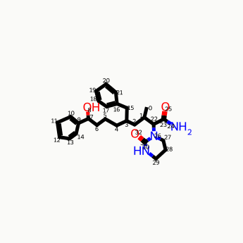 CC(CC(CCCC(O)c1ccccc1)Cc1ccccc1)C(C(N)=O)N1CCCNC1=O